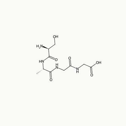 C[C@H](NC(=O)[C@@H](N)CO)C(=O)NCC(=O)NCC(=O)O